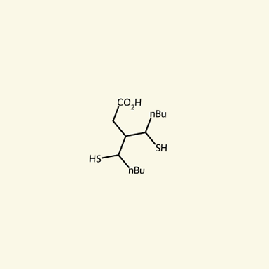 CCCCC(S)C(CC(=O)O)C(S)CCCC